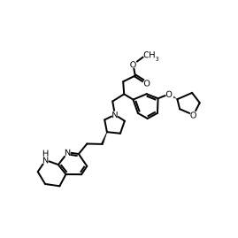 COC(=O)CC(CN1CC[C@@H](CCc2ccc3c(n2)NCCC3)C1)c1cccc(O[C@@H]2CCOC2)c1